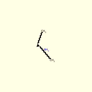 CCCCCCCCCCC[C@H]1C[C@H]1CCCCC(N)CCCCCCCCC